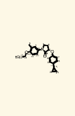 Cc1cc(N2CC[C@H](Oc3ccc(C4CC4)cc3)C2=O)ccc1OCC(C)(C)C